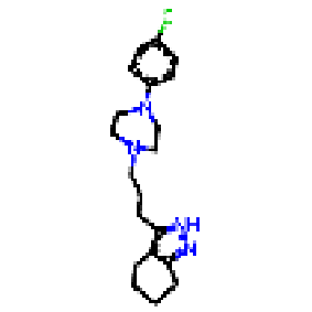 Clc1ccc(N2CCN(CCCc3[nH]nc4c3CCCC4)CC2)cc1